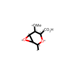 COC1C(C(=O)O)OC(C)C2OC21